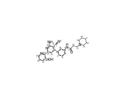 N#Cc1c(-c2cccc(NC(=O)CCN3CCCCC3)c2)cc(-c2ncccc2O)nc1N